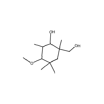 COC1C(C)C(O)C(C)(CO)CC1(C)C